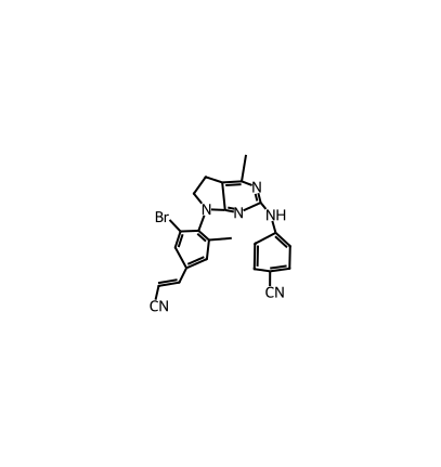 Cc1cc(/C=C/C#N)cc(Br)c1N1CCc2c(C)nc(Nc3ccc(C#N)cc3)nc21